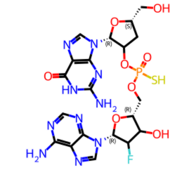 Nc1nc2c(ncn2[C@@H]2O[C@H](CO)CC2OP(=O)(S)OC[C@H]2O[C@@H](n3cnc4c(N)ncnc43)C(F)C2O)c(=O)[nH]1